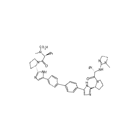 CC(C)[C@H](NC1=NCCN1C)C(=O)N1CCC[C@H]1c1ncc(-c2ccc(-c3ccc(-c4cnc([C@@H]5CCCN5C(=O)[C@H](C(C)C)N(C)C(=O)O)[nH]4)cc3)cc2)[nH]1